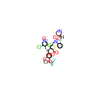 COc1cc([C@H](Cc2c(Cl)c[n+]([O-])cc2Cl)c2cc(CN(C(=O)O[C@H]3CN4CCC3CC4)c3ccccc3F)sc2C(=O)O)ccc1OC(F)F